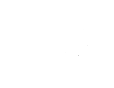 O=C(O)CCCC(=O)Nc1cc(O)ccn1